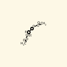 C=CC(=O)OCCOc1ccc(-c2cc(F)c(OCCOC(=O)C=C)c(CC)c2)cc1